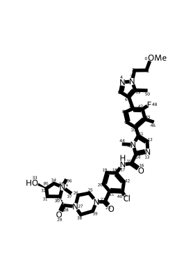 COCCn1ncc(-c2ccc(-c3cnc(C(=O)Nc4ccc(C(=O)N5CCN(C(=O)[C@@H]6C[C@@H](O)C[N+]6(C)C)CC5)c(Cl)c4)n3C)c(C)c2F)c1C